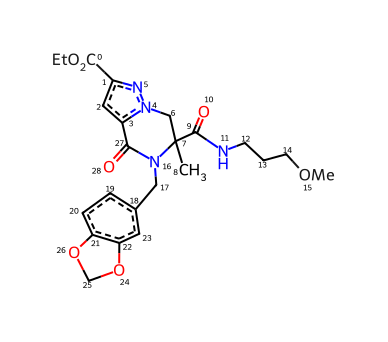 CCOC(=O)c1cc2n(n1)CC(C)(C(=O)NCCCOC)N(Cc1ccc3c(c1)OCO3)C2=O